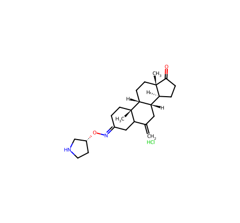 C=C1C[C@@H]2[C@@H](CC[C@]3(C)C(=O)CC[C@@H]23)[C@@]2(C)CCC(=NO[C@@H]3CCNC3)CC12.Cl